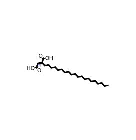 CCCCCCCCCCCCCCCCCCCC/C(=C\C(=O)O)C(=O)O